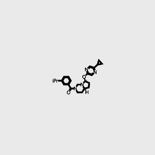 CC(C)c1cccc(C(=O)N2CC[C@@H]3CC[C@H](Oc4cnc(C5CC5)cn4)N3C2)c1